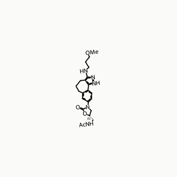 COCCCNc1n[nH]c2c1CCCc1cc(N3C[C@H](CNC(C)=O)OC3=O)ccc1-2